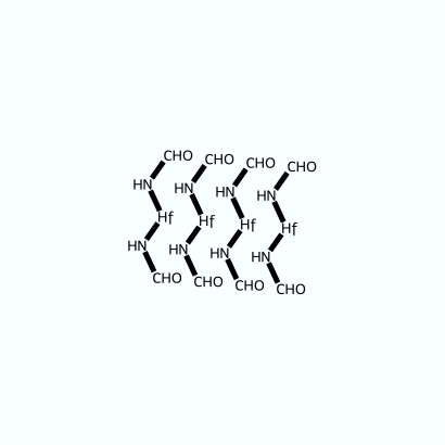 O=C[NH][Hf][NH]C=O.O=C[NH][Hf][NH]C=O.O=C[NH][Hf][NH]C=O.O=C[NH][Hf][NH]C=O